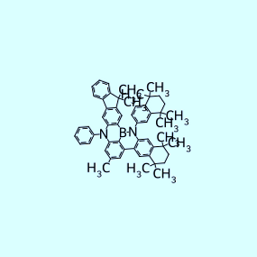 Cc1cc2c3c(c1)N(c1ccccc1)c1cc4c(cc1B3N(c1ccc3c(c1)C(C)(C)CCC3(C)C)c1cc3c(cc1-2)C(C)(C)CCC3(C)C)C(C)(C)c1ccccc1-4